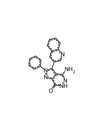 Nc1n[nH]c(=O)c2nn(-c3ccccc3)c(-c3cnc4ccccc4c3)c12